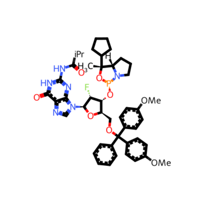 COc1ccc(C(OC[C@H]2O[C@@H](n3cnc4c(=O)[nH]c(NC(=O)C(C)C)nc43)[C@H](F)[C@@H]2O[P@@]2O[C@](C)(C3CCCC3)[C@@H]3CCCN32)(c2ccccc2)c2ccc(OC)cc2)cc1